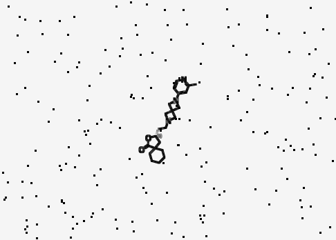 Cc1cc(N2CC3(CN(CC[C@@H]4CC5(CCCCC5)C(=O)O4)C3)C2)ccn1